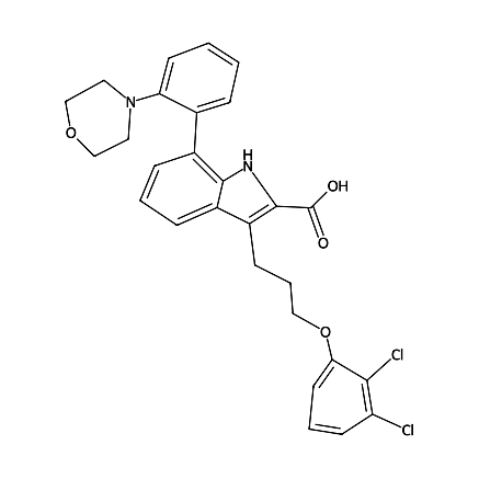 O=C(O)c1[nH]c2c(-c3ccccc3N3CCOCC3)cccc2c1CCCOc1cccc(Cl)c1Cl